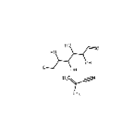 C=C(C)C#N.O=CC(O)C(O)C(O)C(O)CO